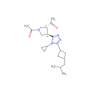 CC(=O)[C@H]1CN(C(C)=O)C[C@@H]1c1nnc(C2CC(CC(C)C)C2)n1C1CC1